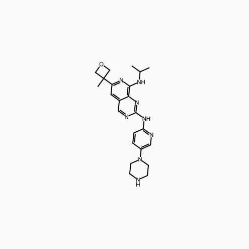 CC(C)Nc1nc(C2(C)COC2)cc2cnc(Nc3ccc(N4CCNCC4)cn3)nc12